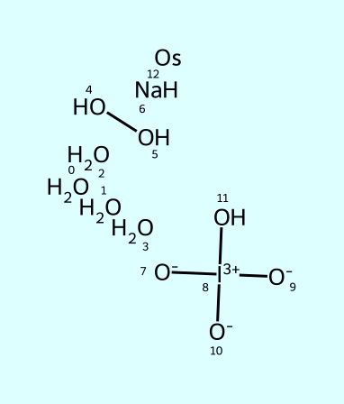 O.O.O.O.OO.[NaH].[O-][I+3]([O-])([O-])O.[Os]